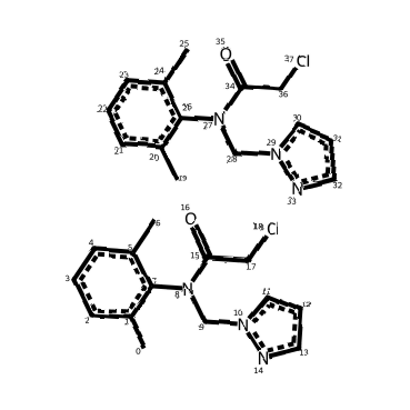 Cc1cccc(C)c1N(Cn1cccn1)C(=O)CCl.Cc1cccc(C)c1N(Cn1cccn1)C(=O)CCl